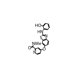 CNC(=O)c1cc(Oc2ccc3nc(Nc4ccccc4O)sc3c2)ccn1